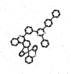 c1ccc(-c2ccc(-c3cc(-c4cccc(-c5nc6ccccc6c6c7c(ccc56)C5(c6ccccc6Sc6ccccc65)c5ccccc5-7)c4)nc(-c4ccccc4)n3)cc2)cc1